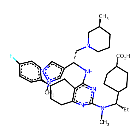 CC[C@H](C1CCC(C(=O)O)CC1)N(C)c1nc2c(c(N[C@@H](CN3CCC[C@H](C)C3)c3cnn(C)c3)n1)C[C@H](c1ccc(F)cc1)CC2